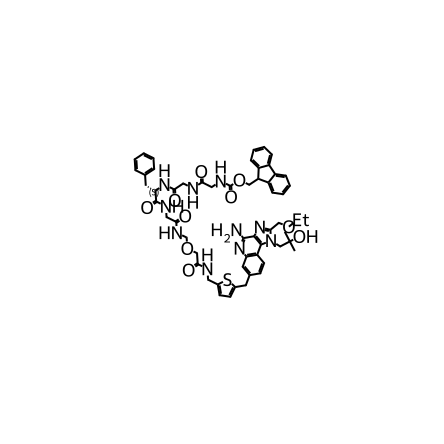 CCOCc1nc2c(N)nc3cc(Cc4ccc(CNC(=O)COCNC(=O)CNC(=O)[C@H](Cc5ccccc5)NC(=O)CNC(=O)CNC(=O)OCC5c6ccccc6-c6ccccc65)s4)ccc3c2n1CC(C)(C)O